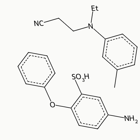 CCN(CCC#N)c1cccc(C)c1.Nc1ccc(Oc2ccccc2)c(S(=O)(=O)O)c1